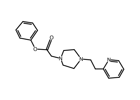 O=C(CN1CCN(CCc2ccccn2)CC1)Oc1ccccc1